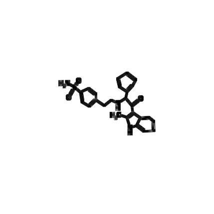 Cc1[nH]c2ccccc2c1C(=O)C(NCCc1ccc(S(N)(=O)=O)cc1)c1ccccc1